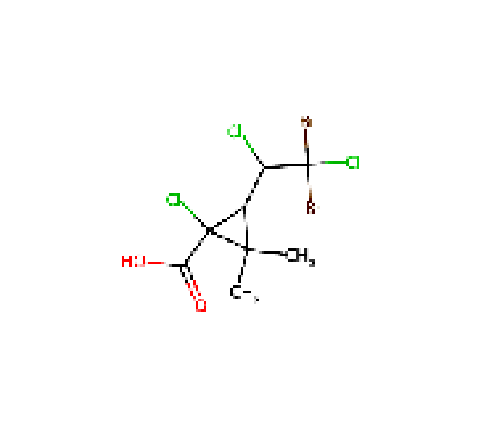 CC1(C)C(C(Cl)C(Cl)(Br)Br)C1(Cl)C(=O)O